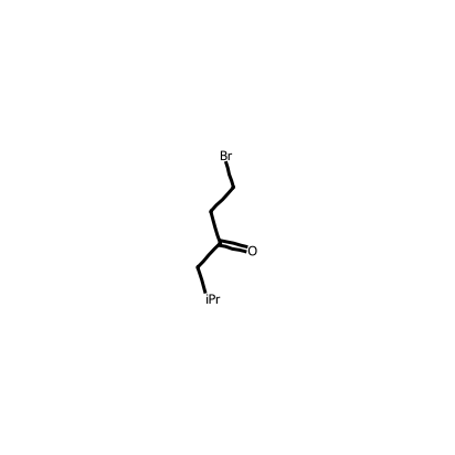 CC(C)CC(=O)CCBr